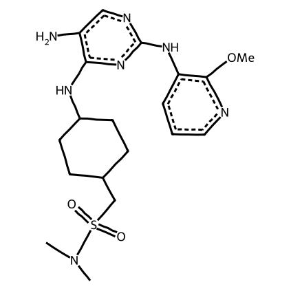 COc1ncccc1Nc1ncc(N)c(NC2CCC(CS(=O)(=O)N(C)C)CC2)n1